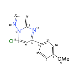 COc1ccc(-c2cc(Cl)n3n[c]cc3n2)cc1